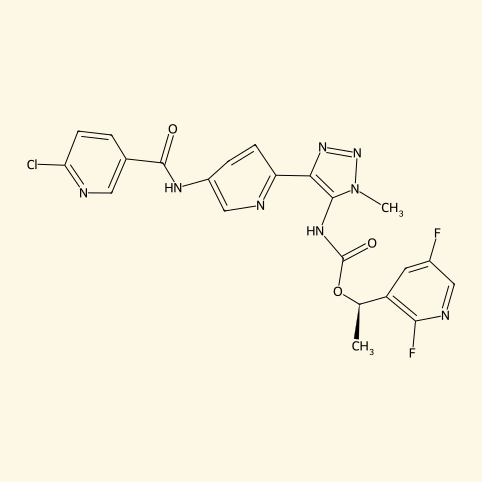 C[C@@H](OC(=O)Nc1c(-c2ccc(NC(=O)c3ccc(Cl)nc3)cn2)nnn1C)c1cc(F)cnc1F